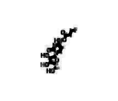 O=C(CCF)ONc1ccn([C@@H]2O[C@H](CO)[C@@H](O)[C@H]2O)c(=O)n1